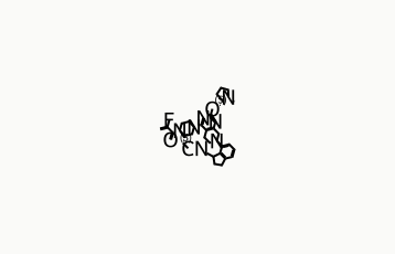 C=C(F)C(=O)N1CCN(c2nc(OC[C@@H]3CCCN3C)nc3c2CCN(c2cccc4c2C(C)CC4)C3)C[C@@H]1CC#N